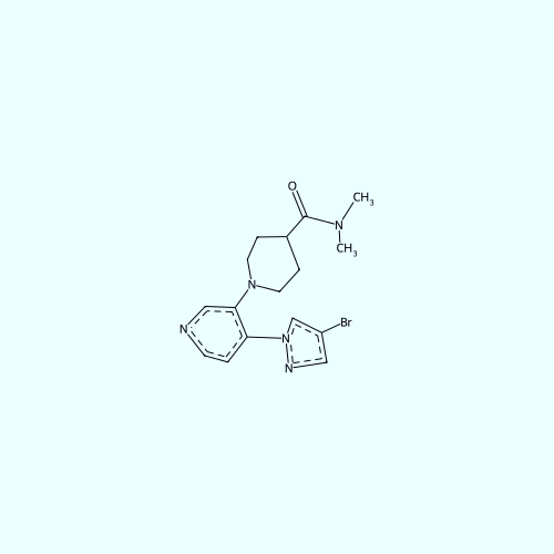 CN(C)C(=O)C1CCN(c2cnccc2-n2cc(Br)cn2)CC1